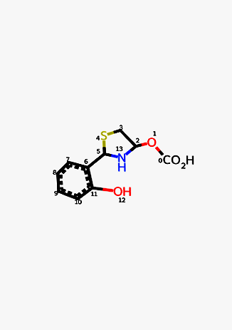 O=C(O)OC1CSC(c2ccccc2O)N1